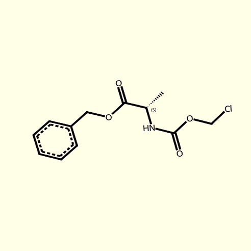 C[C@H](NC(=O)OCCl)C(=O)OCc1ccccc1